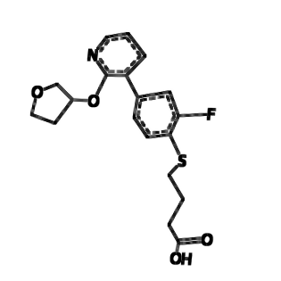 O=C(O)CCCSc1ccc(-c2cccnc2OC2CCOC2)cc1F